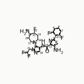 Nc1sc(-c2c(F)cccc2F)nc1C(=O)Nc1cnn(CC(F)F)c1N1CC[C@H](N)[C@@H](F)CC1